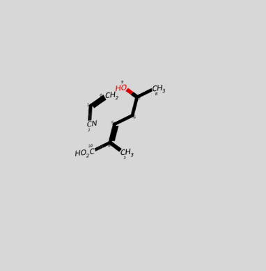 C=CC#N.CC(=CCC(C)O)C(=O)O